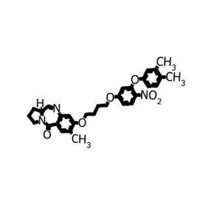 Cc1ccc(Oc2cc(OCCCCOc3cc4c(cc3C)C(=O)N3CCC[C@H]3C=N4)ccc2[N+](=O)[O-])cc1C